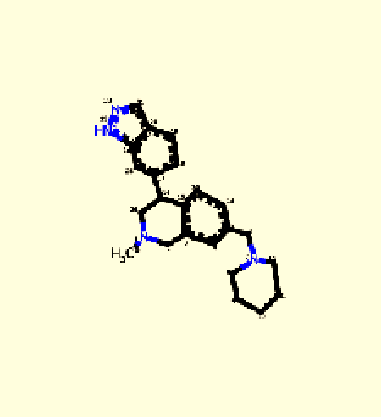 CN1Cc2cc(CN3CCCCC3)ccc2C(c2ccc3cn[nH]c3c2)C1